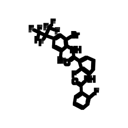 O=C(Nc1cccc(C(=O)Nc2c(Br)cc(C(F)(C(F)(F)F)C(F)(F)F)cc2Br)c1F)c1ccccc1F